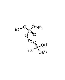 CCOP(=O)(OCC)OCC.COP(=O)(O)O